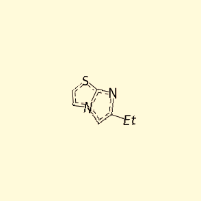 CCc1cn2ccsc2n1